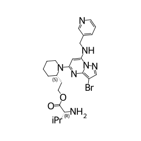 CC(C)[C@@H](N)C(=O)OCC[C@@H]1CCCCN1c1cc(NCc2cccnc2)n2ncc(Br)c2n1